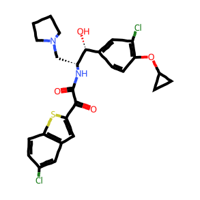 O=C(N[C@H](CN1CCCC1)[C@H](O)c1ccc(OC2CC2)c(Cl)c1)C(=O)c1cc2cc(Cl)ccc2s1